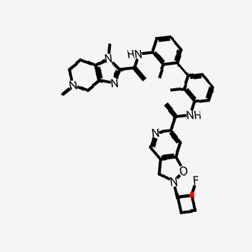 C=C(Nc1cccc(-c2cccc(NC(=C)c3nc4c(n3C)CCN(C)C4)c2C)c1C)c1cc2c(cn1)CN(C1(CF)CCC1)O2